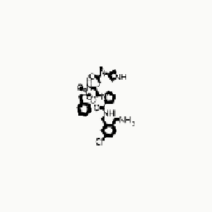 CN(C(=O)C[C@@H](NS(=O)(=O)Cc1ccccc1)C(=O)N1CCC[C@H]1C(=O)NCc1cc(Cl)ccc1CN)C1CNC1